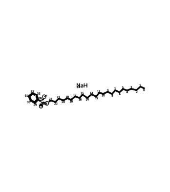 CCCCCCCCCCCCCCCCCCCCCCCCOS(=O)(=O)c1ccccc1.[NaH]